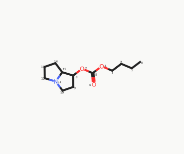 CCCCOC(=O)OC1CCN2CCCC12